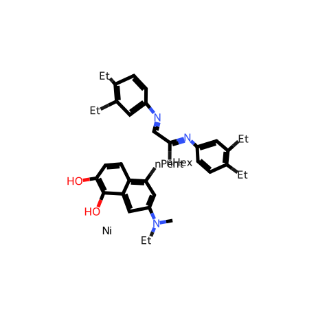 CCCCCCC(C=Nc1ccc(CC)c(CC)c1)=Nc1ccc(CC)c(CC)c1.CCCCCc1cc(N(C)CC)cc2c(O)c(O)ccc12.[Ni]